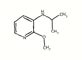 COc1ncccc1NC(C)C